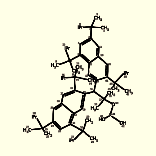 CC(C)C(C)(C)c1cc(C(C)(C)C(C)C)c2cc(C(c3cc4c(C(C)(C)C(C)C)cc(C(C)(C)C(C)C)cc4cc3C(C)(C)C(C)C)C(C)(C)OP(O)O)c(C(C)(C)C(C)C)cc2c1